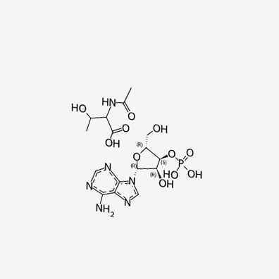 CC(=O)NC(C(=O)O)C(C)O.Nc1ncnc2c1ncn2[C@@H]1O[C@H](CO)[C@@H](OP(=O)(O)O)[C@H]1O